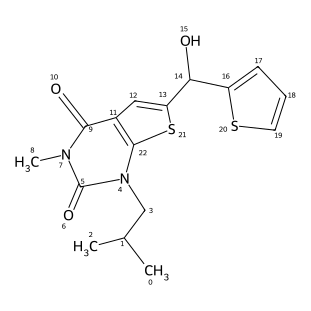 CC(C)Cn1c(=O)n(C)c(=O)c2cc(C(O)c3cccs3)sc21